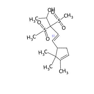 CC1=CCC(/C=C/C(C(C)O)(S(C)(=O)=O)S(C)(=O)=O)C1(C)C